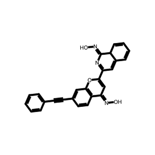 ON=C1N=C(c2cc(=NO)c3ccc(C#Cc4ccccc4)cc3o2)C=C2C=CC=CC21